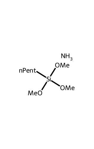 CCCCC[Si](OC)(OC)OC.N